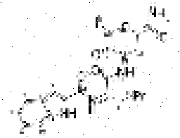 CC(C)C[C@H](NC(=O)c1cc2ccccc2[nH]1)C(=O)NN(CCC(N)=O)C(=O)C(F)Cl